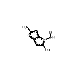 CCNn1c(O)cc2oc(N)cc21